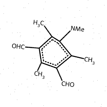 CNc1c(C)c(C=O)c(C)c(C=O)c1C